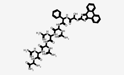 N=C(N)NC(NC(=O)C(NC(=N)N)NC(=O)C(NC(=N)N)NC(=O)C(NC(=N)N)NC(=O)C(NC(=O)C(O)N=C1N=c2c(c3ccccc3c3ccccc23)=N1)c1ccccc1)C(=O)NC(N)C(N)=O